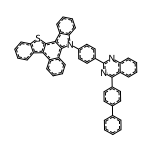 c1ccc(-c2ccc(-c3nc(-c4ccc(-n5c6ccccc6c6c7sc8ccccc8c7c7ccccc7c65)cc4)nc4ccccc34)cc2)cc1